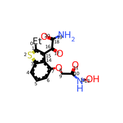 CCc1sc2cccc(OCC(=O)NO)c2c1C(=O)C(N)=O